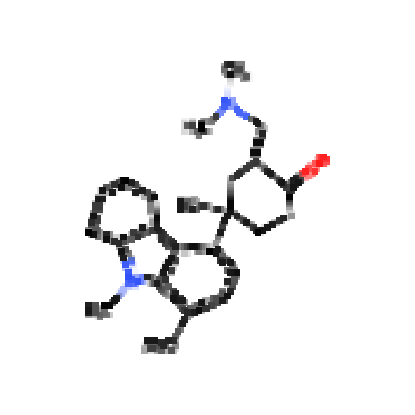 COc1ccc(C2(C#N)CCC(=O)C(=CN(C)C)C2)c2c3ccccc3n(C)c12